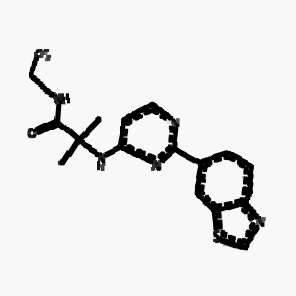 CC(C)(Nc1ccnc(-c2ccc3ncsc3c2)n1)C(=O)NCC(F)(F)F